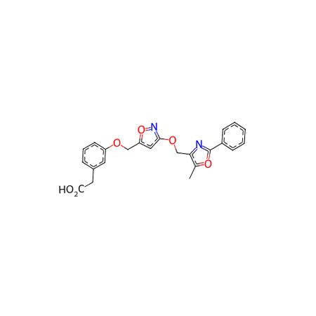 Cc1oc(-c2ccccc2)nc1COc1cc(COc2cccc(CC(=O)O)c2)on1